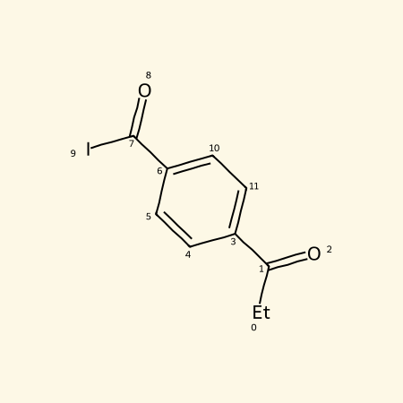 CCC(=O)c1ccc(C(=O)I)cc1